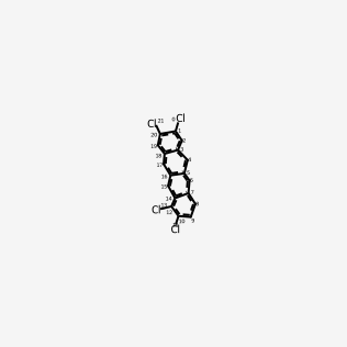 Clc1cc2cc3cc4ccc(Cl)c(Cl)c4cc3cc2cc1Cl